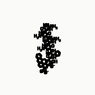 N=C(N)NC(NC(=O)C(NC(=N)N)NC(=O)C(NC(=N)N)NC(=O)C(NC(=N)N)NC(=O)C(NC(=O)C(CO)N(Cc1c2ccccc2cc2ccccc12)c1ccc([N+](=O)[O-])cc1[N+](=O)[O-])c1ccccc1)C(N)=O